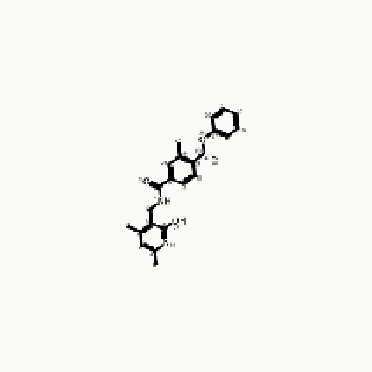 Cc1cc(C)c(CNC(=O)c2ccc([C@@H](C)Oc3ccccc3)c(C)c2)c(O)n1